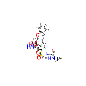 CC(C)NC(=O)N1CCC(CC(=O)NO)(c2ccc(Oc3ccccc3)cc2)S(=O)(=O)CC1